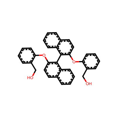 OCc1ccccc1Oc1ccc2ccccc2c1-c1c(Oc2ccccc2CO)ccc2ccccc12